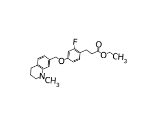 CCOC(=O)CCc1ccc(OCc2ccc3c(c2)N(C)CCC3)cc1F